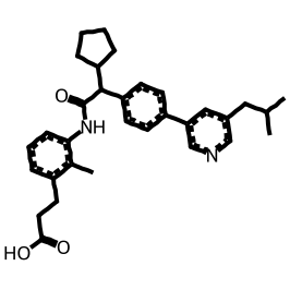 Cc1c(CCC(=O)O)cccc1NC(=O)C(c1ccc(-c2cncc(CC(C)C)c2)cc1)C1CCCC1